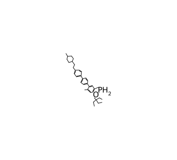 CCC(CC)(CC)COc1cc(C)c(-c2ccc(-c3ccc(CCC4CCC(C)CC4)cc3)cc2)cc1CP